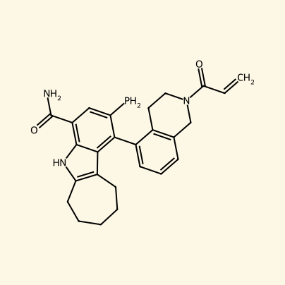 C=CC(=O)N1CCc2c(cccc2-c2c(P)cc(C(N)=O)c3[nH]c4c(c23)CCCCC4)C1